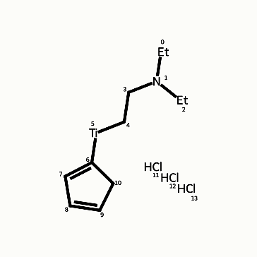 CCN(CC)C[CH2][Ti][C]1=CC=CC1.Cl.Cl.Cl